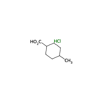 CC1CCC(C(=O)O)CC1.Cl